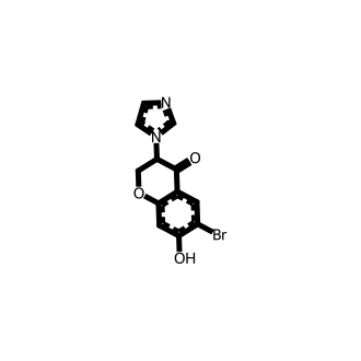 O=C1c2cc(Br)c(O)cc2OCC1n1ccnc1